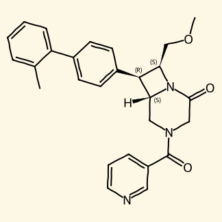 COC[C@@H]1[C@H](c2ccc(-c3ccccc3C)cc2)[C@H]2CN(C(=O)c3cccnc3)CC(=O)N12